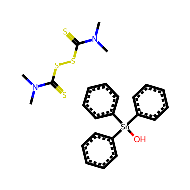 CN(C)C(=S)SSC(=S)N(C)C.[OH][Sn]([c]1ccccc1)([c]1ccccc1)[c]1ccccc1